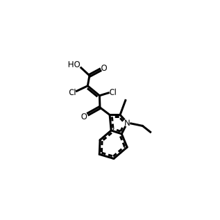 CCn1c(C)c(C(=O)/C(Cl)=C(\Cl)C(=O)O)c2ccccc21